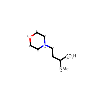 CNC(CCN1CCOCC1)S(=O)(=O)O